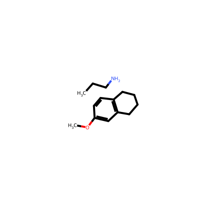 CCCN.COc1ccc2c(c1)CCCC2